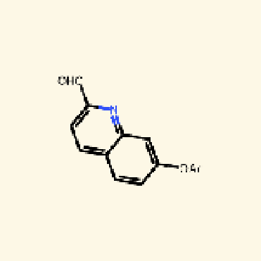 CC(=O)Oc1ccc2ccc(C=O)nc2c1